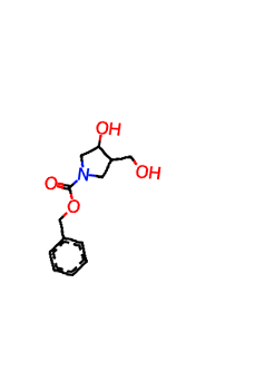 O=C(OCc1ccccc1)N1CC(O)C(CO)C1